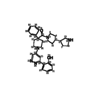 O=C(N1CCC(C2CCNC2)CC1)C1(c2ccccc2)CCN(c2cnnc(-c3ccccc3O)c2)CC1